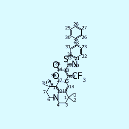 CC1(C)CCN2CCC(C)(C)c3c2c1cc1c(C(F)(F)F)c(-c2nc4ccc(-c5ccccc5)cc4s2)c(=O)oc31